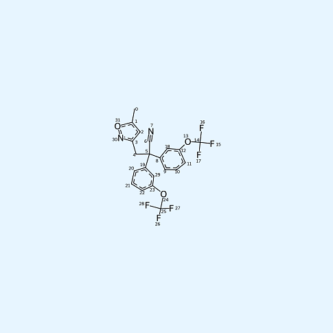 Cc1cc(CC(C#N)(c2cccc(OC(F)(F)F)c2)c2cccc(OC(F)(F)F)c2)no1